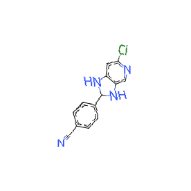 N#Cc1ccc(C2Nc3cnc(Cl)cc3N2)cc1